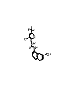 O=C(NCc1ncc(C(F)(F)F)cc1Cl)Nc1cccc2c1C[C@H](O)CC2